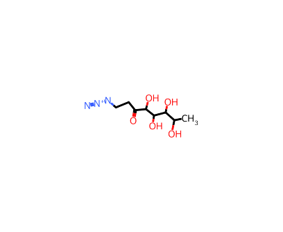 CC(O)C(O)C(O)C(O)C(=O)CCN=[N+]=[N-]